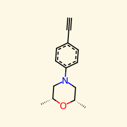 C#Cc1ccc(N2C[C@@H](C)O[C@@H](C)C2)cc1